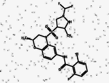 CC1NN(C(F)F)CC1S(=O)(=O)N1C[C@H](C)Oc2ccc(NC(=O)c3c(F)cccc3Cl)cc21